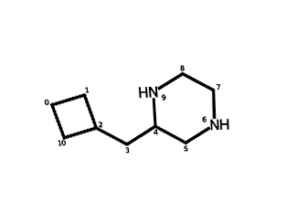 C1CC(CC2CNCCN2)C1